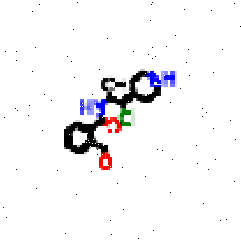 CC(NC(=O)c1ccccc1C=O)C(Cl)=C1CCNCC1